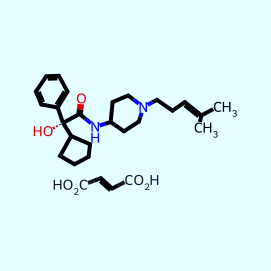 CC(C)=CCCN1CCC(NC(=O)[C@](O)(c2ccccc2)C2CCCC2)CC1.O=C(O)C=CC(=O)O